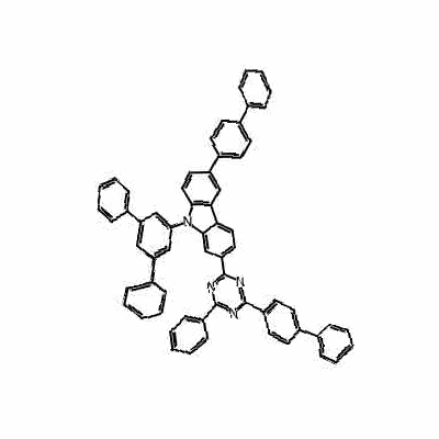 c1ccc(-c2ccc(-c3ccc4c(c3)c3ccc(-c5nc(-c6ccccc6)nc(-c6ccc(-c7ccccc7)cc6)n5)cc3n4-c3cc(-c4ccccc4)cc(-c4ccccc4)c3)cc2)cc1